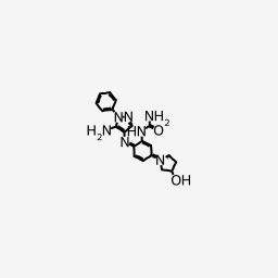 NC(=O)NC1=CC(=[N+]2\CCC(O)C2)/C=CC/1=N/c1cnn(-c2ccccc2)c1N